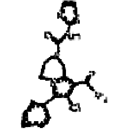 NC(=O)c1c(Cl)c(-c2ccccc2)n2c1CN(C(=O)Nc1nccs1)CC2